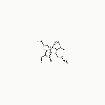 CCCC[Si](OCCC)(OCCC)C(CC)CCCN.N